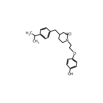 CC(C)c1ccc(CC2CCN(CCOc3ccc(O)cc3)CC2)cc1.Cl